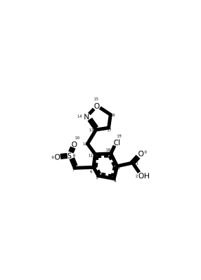 O=C(O)c1ccc(C=S(=O)=O)c(CC2=NOCC2)c1Cl